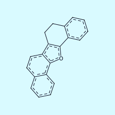 c1ccc2c(c1)CCc1c-2oc2c1ccc1ccccc12